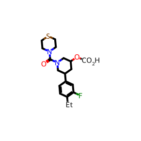 CCc1ccc(C2CC(OC(=O)O)CN(C(=O)N3CCSCC3)C2)cc1F